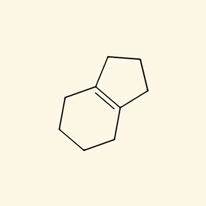 [CH]1CCCC2=C1CCC2